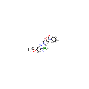 Cl.O=C1OC2(CCN(c3nc4cc(OC(F)(F)F)ccc4[nH]3)CC2)CN1c1ccccc1